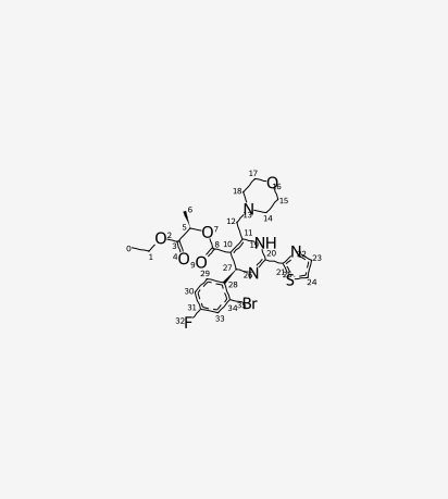 CCOC(=O)[C@@H](C)OC(=O)C1=C(CN2CCOCC2)NC(c2nccs2)=N[C@H]1c1ccc(F)cc1Br